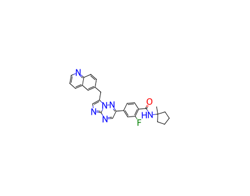 CC1(NC(=O)c2ccc(-c3cnc4ncc(Cc5ccc6ncccc6c5)n4n3)cc2F)CCCC1